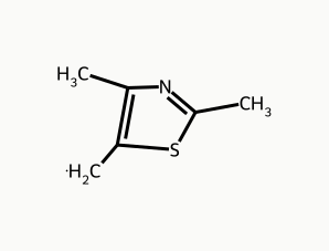 [CH2]c1sc(C)nc1C